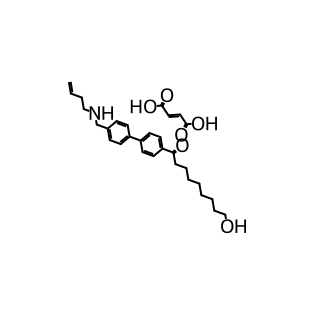 C=CCCNCc1ccc(-c2ccc(C(=O)CCCCCCCCO)cc2)cc1.O=C(O)C=CC(=O)O